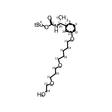 C[C@@H](NC(=O)OC(C)(C)C)c1cccc(OCCCCCOCCCOCCO)c1